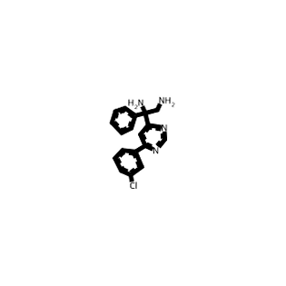 NCC(N)(c1ccccc1)c1cc(-c2cccc(Cl)c2)ncn1